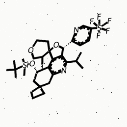 CC(C)c1nc2c(c3c1[C@@H](c1ccc(S(F)(F)(F)(F)F)cn1)OC31CCOCC1I)[C@@H](O[Si](C)(C)C(C)(C)C)CC1(CCC1)C2